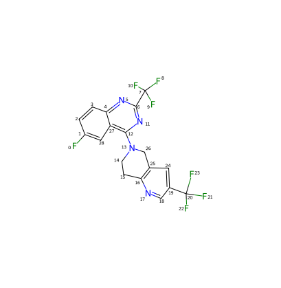 Fc1ccc2nc(C(F)(F)F)nc(N3CCc4ncc(C(F)(F)F)cc4C3)c2c1